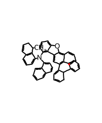 CC1CC=Cc2cccc(N(c3cccc4ccccc34)c3cccc4oc5c6c(c(C7=CC=CCC7c7ccccc7)cc5c34)CCC=C6)c21